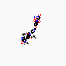 COc1cc(-c2cn(C)c(=O)c3cnccc23)cc(OC)c1CN(C)C1CCN(CCOc2ccc3c(c2)C(=O)N(C2CCC(=O)NC2=O)C3=O)CC1